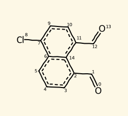 O=Cc1cccc2c(Cl)ccc(C=O)c12